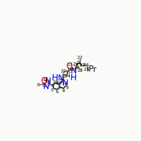 Cc1nc(-c2ccc3ccnc(NC4CC(C(=O)Nc5cc(C)c(CC(C)C)s5)C4)c3c2)no1